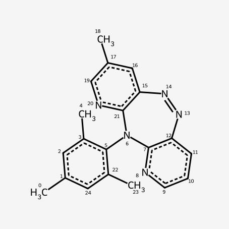 Cc1cc(C)c(N2c3ncccc3N=Nc3cc(C)cnc32)c(C)c1